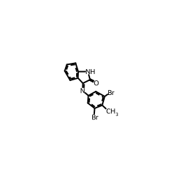 Cc1c(Br)cc(N=C2C(=O)Nc3ccccc32)cc1Br